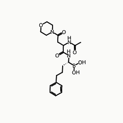 CC(=O)NC(CC(=O)N1CCOCC1)C(=O)N[C@@H](CCCc1ccccc1)B(O)O